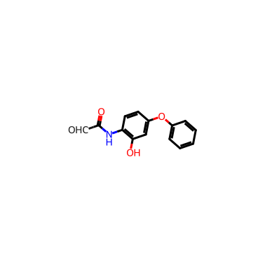 O=CC(=O)Nc1ccc(Oc2ccccc2)cc1O